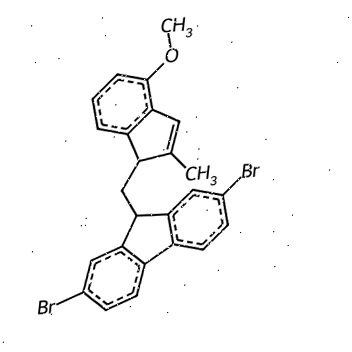 COc1cccc2c1C=C(C)C2CC1c2cc(Br)ccc2-c2ccc(Br)cc21